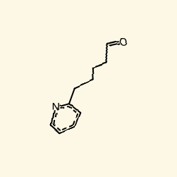 O=CCCCCc1ccccn1